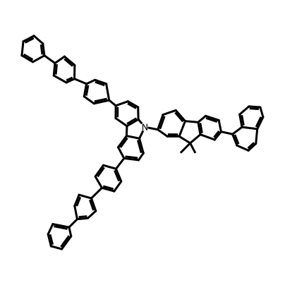 CC1(C)c2cc(-c3cccc4ccccc34)ccc2-c2ccc(-n3c4ccc(-c5ccc(-c6ccc(-c7ccccc7)cc6)cc5)cc4c4cc(-c5ccc(-c6ccc(-c7ccccc7)cc6)cc5)ccc43)cc21